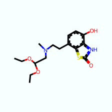 CCOC(CN(C)CCc1ccc(O)c2[nH]c(=O)sc12)OCC